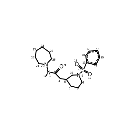 CN(C(=O)CC1CCCN(S(=O)(=O)c2ccccc2)C1)N1CCCCCC1